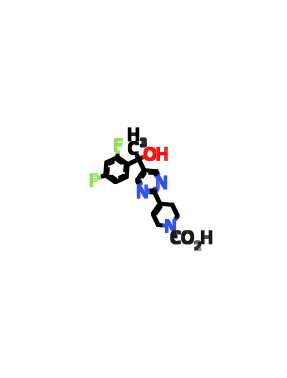 CC(O)(c1cnc(C2=CCN(C(=O)O)CC2)nc1)c1ccc(F)cc1F